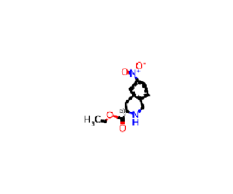 CCOC(=O)[C@@H]1Cc2cc([N+](=O)[O-])ccc2CN1